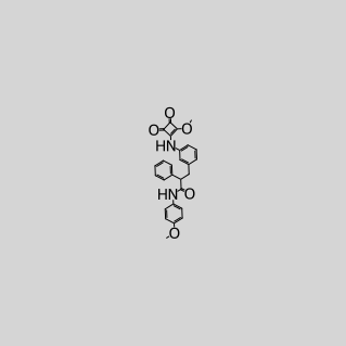 COc1ccc(NC(=O)C(Cc2cccc(Nc3c(OC)c(=O)c3=O)c2)c2ccccc2)cc1